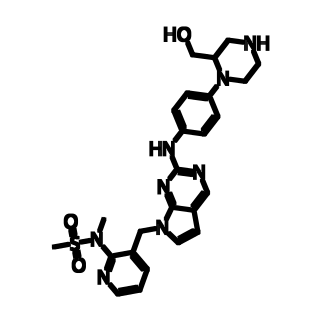 CN(c1ncccc1Cn1ccc2cnc(Nc3ccc(N4CCNCC4CO)cc3)nc21)S(C)(=O)=O